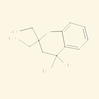 CCC1(CC)CC(C)(C)c2ccccc2O1